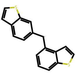 [CH](c1ccc2ccsc2c1)c1cccc2sccc12